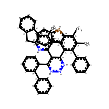 Cc1c(-c2c(-c3ccccc3-c3ccccc3)nnnc2-c2c(-c3ccccc3)c(C)c(C)c3sc4ccccc4c23)nc2c(c1C)-c1ccccc1C2